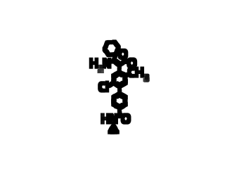 Cc1cc(-c2ccc(C(=O)NC3CC3)cc2)c(Cl)cc1C1=C(N)C2(CCCCC2)OC1=O